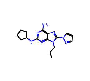 CCCn1c(-n2cccn2)nc2c(N)nc(NC3CCCC3)nc21